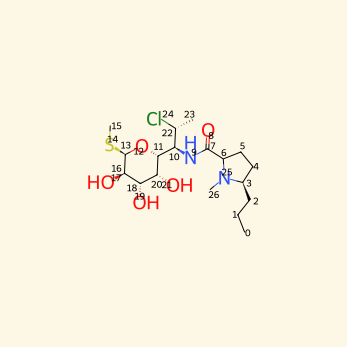 CCC[C@@H]1CCC(C(=O)N[C@@H]([C@H]2O[C@H](SC)[C@H](O)[C@@H](O)[C@H]2O)[C@@H](C)Cl)N1C